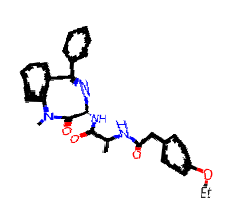 CCOc1ccc(CC(=O)N[C@@H](C)C(=O)N[C@H]2N=C(c3ccccc3)c3ccccc3N(C)C2=O)cc1